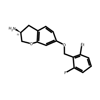 CCc1cccc(F)c1COc1ccc2c(c1)OC[C@@H](N)C2